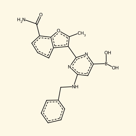 Cc1oc2c(C(N)=O)cccc2c1-c1nc(NCc2ccccc2)cc(B(O)O)n1